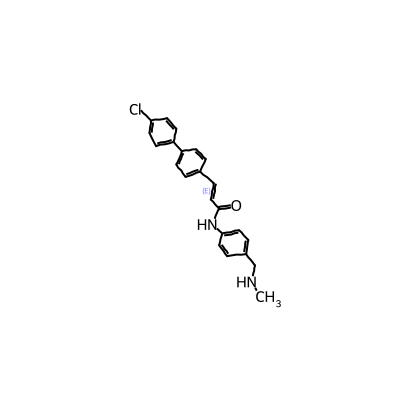 CNCc1ccc(NC(=O)/C=C/c2ccc(-c3ccc(Cl)cc3)cc2)cc1